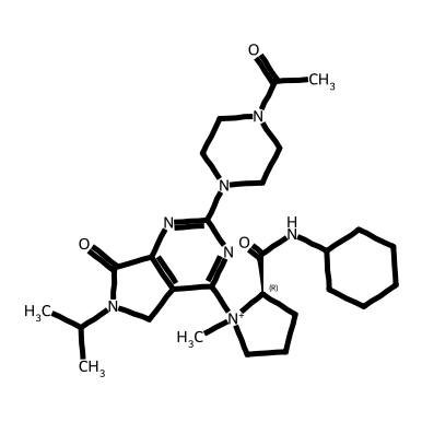 CC(=O)N1CCN(c2nc3c(c([N+]4(C)CCC[C@@H]4C(=O)NC4CCCCC4)n2)CN(C(C)C)C3=O)CC1